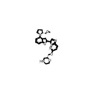 COC[C@H]1CCCN1c1cccc2oc(-c3cnc4ccc(OC[C@H]5CNCCO5)nn34)cc12